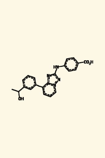 CC(O)c1cccc(-c2cccn3nc(Nc4ccc(C(=O)O)cc4)nc23)c1